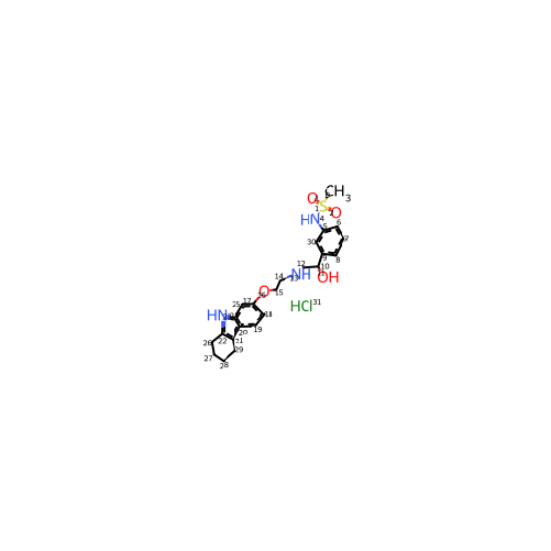 CS(=O)(=O)Nc1cccc(C(O)CNCCOc2ccc3c4c([nH]c3c2)CCCC4)c1.Cl